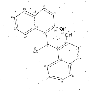 CCC(c1c(O)ccc2ccccc12)c1c(O)ccc2ccccc12